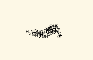 CC[C@@]1(F)[C@H](O)[C@@H](COP(=O)(S)OP(=O)(O)OC2OC([C@@H](F)COC(C)=O)C(OC(C)=O)C(O)C2OC(C)=O)O[C@H]1n1cnc2c(N)ncnc21